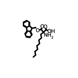 CCCCCCCCCC(N)(C(=O)O)C(=O)OCC1c2ccccc2-c2ccccc21